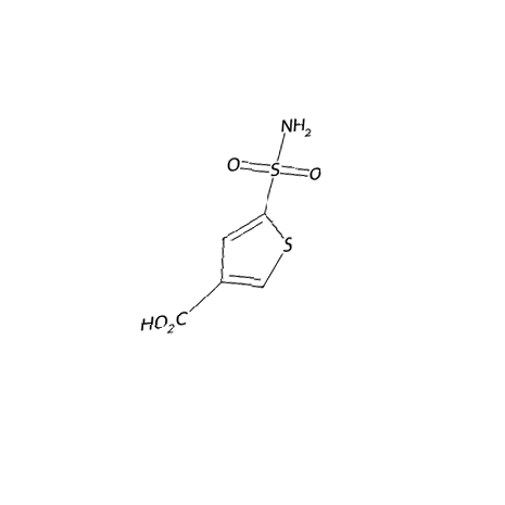 NS(=O)(=O)c1cc(C(=O)O)cs1